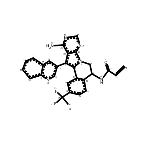 C=CC(=O)NC1Cn2c(c(-c3cnc4ccccc4c3)c3c(N)ncnc32)-c2cc(C(F)(F)F)ccc21